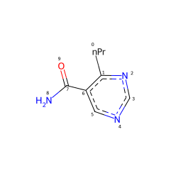 CCCc1ncncc1C(N)=O